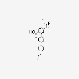 CCCCC1CCC(c2ccc(-c3cc(/C=C(/F)CCC)ccc3C(=O)O)cc2)CC1